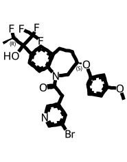 COc1cccc(O[C@H]2CCc3cc(C(O)([C@@H](C)F)C(F)(F)F)ccc3N(C(=O)Cc3cncc(Br)c3)C2)c1